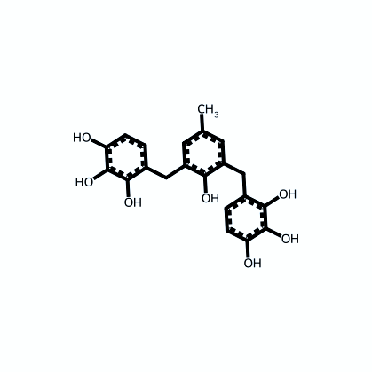 Cc1cc(Cc2ccc(O)c(O)c2O)c(O)c(Cc2ccc(O)c(O)c2O)c1